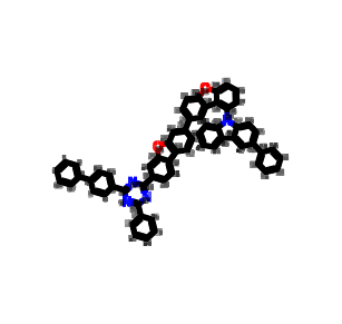 c1ccc(-c2ccc(-c3nc(-c4ccccc4)nc(-c4ccc5c(c4)oc4cc(-c6ccc7oc8cccc(-n9c%10ccccc%10c%10cc(-c%11ccccc%11)ccc%109)c8c7c6)ccc45)n3)cc2)cc1